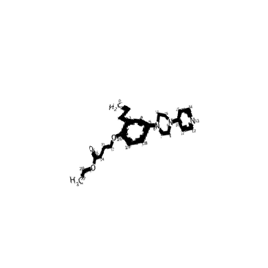 C=CCc1cc(N2CCN(c3ccncc3)CC2)ccc1OCCCC(=O)OCC